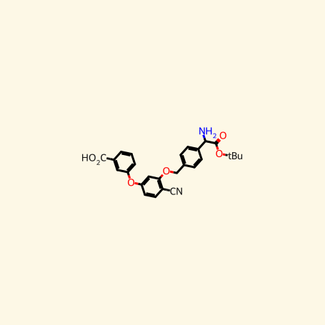 CC(C)(C)OC(=O)C(N)c1ccc(COc2cc(Oc3cccc(C(=O)O)c3)ccc2C#N)cc1